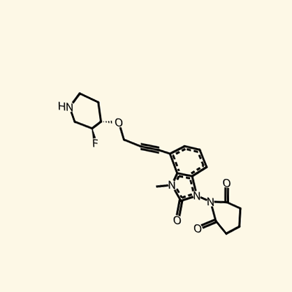 Cn1c(=O)n(N2C(=O)CCCC2=O)c2cccc(C#CCO[C@H]3CCNC[C@@H]3F)c21